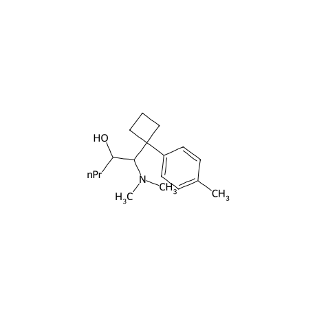 CCCC(O)C(N(C)C)C1(c2ccc(C)cc2)CCC1